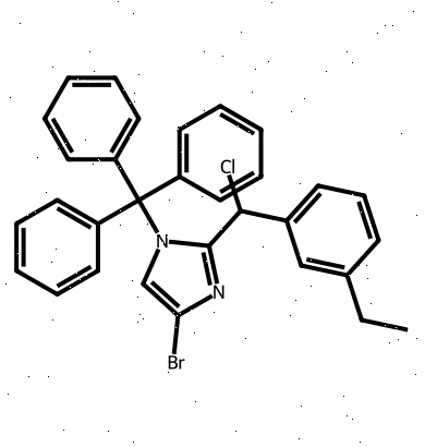 CCc1cccc(C(Cl)c2nc(Br)cn2C(c2ccccc2)(c2ccccc2)c2ccccc2)c1